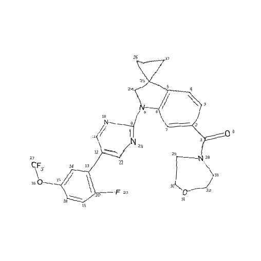 O=C(c1ccc2c(c1)N(c1ncc(-c3cc(OC(F)(F)F)ccc3F)cn1)CC21CC1)N1CCOCC1